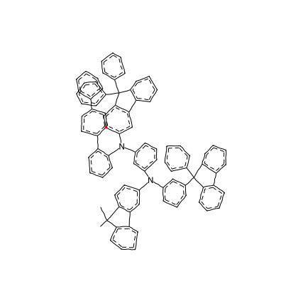 CC1(C)c2ccccc2-c2cc(N(c3cccc(N(c4ccc5c(c4)-c4ccccc4C5(c4ccccc4)c4ccccc4)c4ccccc4-c4ccc(-c5ccccc5)cc4)c3)c3cccc(C4(c5ccccc5)c5ccccc5-c5ccccc54)c3)ccc21